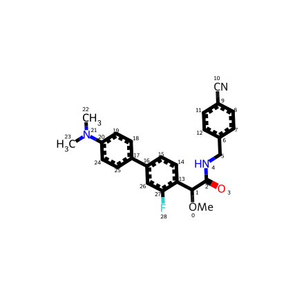 COC(C(=O)NCc1ccc(C#N)cc1)c1ccc(-c2ccc(N(C)C)cc2)cc1F